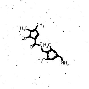 CCC1C(C(=O)NCc2c(C)cc(CN)cc2C)=CC(C)=C1C